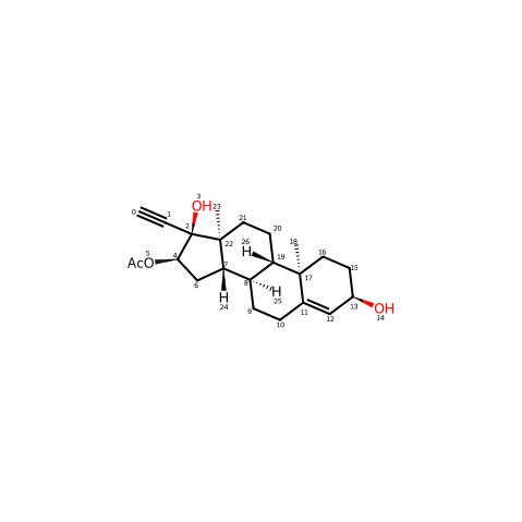 C#C[C@@]1(O)[C@H](OC(C)=O)C[C@H]2[C@@H]3CCC4=C[C@H](O)CC[C@]4(C)[C@H]3CC[C@@]21C